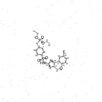 CCOP(=O)(Cc1ccc(S(=O)(=O)Nc2nc3c(s2)COc2ccc(F)cc2-3)cc1)OCC